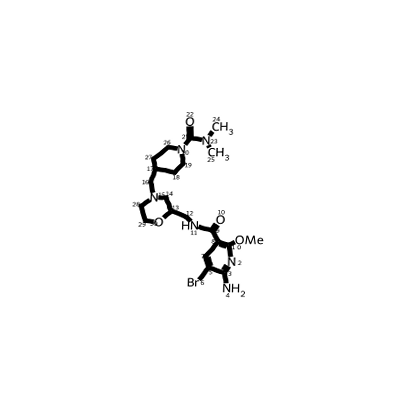 COc1nc(N)c(Br)cc1C(=O)NCC1CN(CC2CCN(C(=O)N(C)C)CC2)CCO1